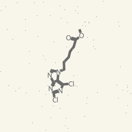 COC(=O)CCCCCn1cnc2nc(Cl)nc(Cl)c21